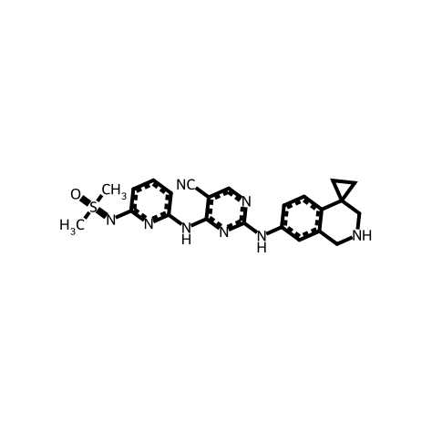 CS(C)(=O)=Nc1cccc(Nc2nc(Nc3ccc4c(c3)CNCC43CC3)ncc2C#N)n1